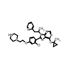 CC(Cc1ccccn1)n1c(-c2ccc(OCCN3CCNCC3)cc2Cl)nc2c(OC3(C)CC3)ncnc21